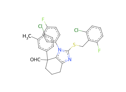 Cc1cc(C2(C=O)CCCc3nc(SCc4c(F)cccc4Cl)n(-c4ccc(F)cc4)c32)ccc1Cl